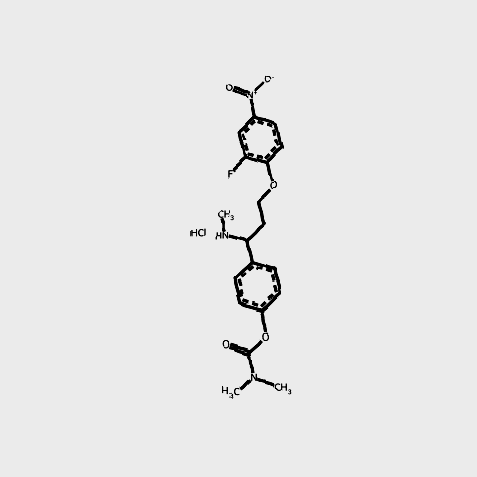 CNC(CCOc1ccc([N+](=O)[O-])cc1F)c1ccc(OC(=O)N(C)C)cc1.Cl